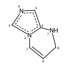 C1=Cn2cncc2NC1